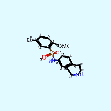 CCc1ccc(OC)c(S(=O)(=O)Nc2ccc3c(c2)CNCC3)c1